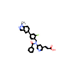 Cn1ncc2cc(-c3ccc(CN(C(=O)c4ccccc4)c4cncc(/C=C/C(=O)O)c4)c(F)c3)ccc21